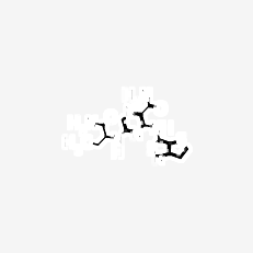 CCC(Nc1cnc(C(N)=O)c(Nc2snc3ccsc23)n1)C(N)=O